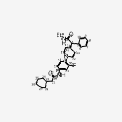 CCNC(=O)C(c1ccccc1)C1CCN(c2ccc(NC(=O)CC3CCCCC3)cc2F)CC1